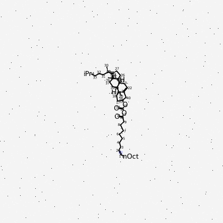 CCCCCCCC/C=C\CCCCCCCC(=O)OC(=O)O[C@H]1CC[C@@]2(C)C(=CC[C@H]3[C@@H]4CC[C@H]([C@H](C)CCCC(C)C)[C@@]4(C)CC[C@@H]32)C1